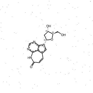 O=C1C=Cc2cn([C@@H]3C[C@H](O)[C@@H](CO)O3)c3ncnc(c23)N1